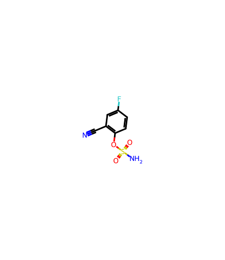 N#Cc1cc(F)ccc1OS(N)(=O)=O